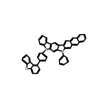 c1ccc(-n2c3cc4cc5ccccc5cc4cc3c3cc4c5ccccc5n(-c5ccc(-c6cccc7oc8ccccc8c67)cc5)c4cc32)cc1